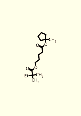 CCC(C)(C)C(=O)OCCCCC(=O)OC1(C)CCCC1